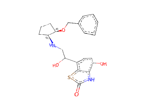 O=c1[nH]c2c(O)ccc(C(O)CN[C@H]3CCC[C@H]3OCc3ccccc3)c2s1